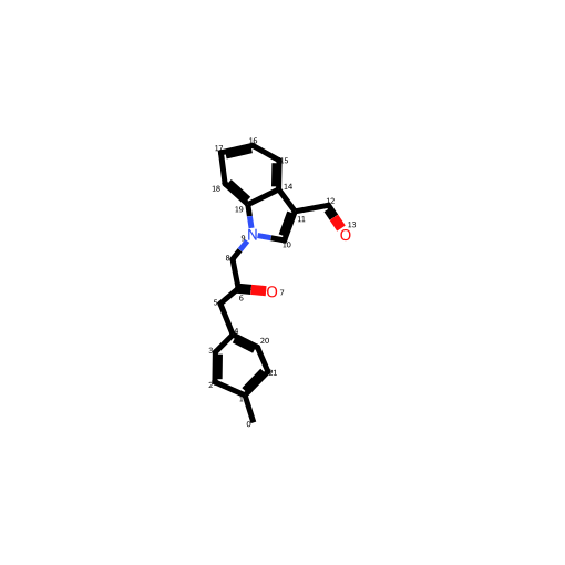 Cc1ccc(CC(=O)Cn2cc(C=O)c3ccccc32)cc1